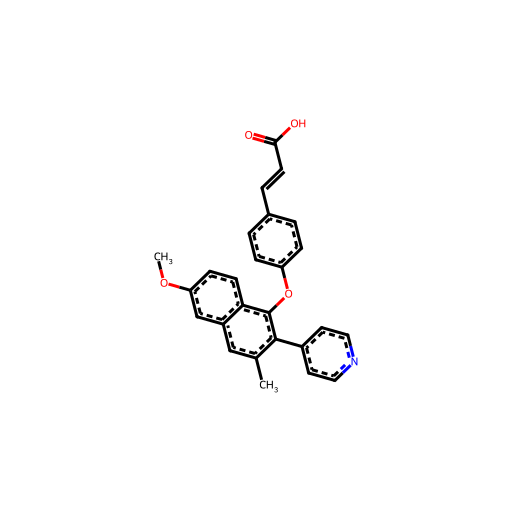 COc1ccc2c(Oc3ccc(/C=C/C(=O)O)cc3)c(-c3ccncc3)c(C)cc2c1